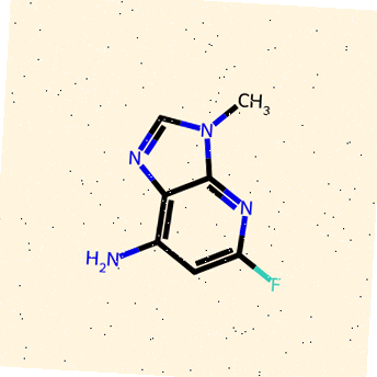 Cn1cnc2c(N)cc(F)nc21